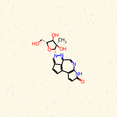 C[C@@]1(O)[C@H](O)[C@@H](CO)O[C@H]1n1cc2ccc3c4ccc(=O)[nH]c4ncc(n1)c23